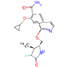 C[C@@H]1[C@H](F)C(=O)N[C@@H]1COc1nccc2cc(C(N)=O)c(OC3CC3)cc12